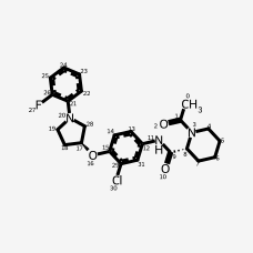 CC(=O)N1CCCC[C@@H]1C(=O)Nc1ccc(O[C@H]2CCN(c3ccccc3F)C2)c(Cl)c1